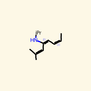 C/C=C\C=C(/C=C(C)C)NC(C)C